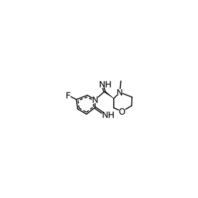 CN1CCOC[C@H]1C(=N)n1cc(F)ccc1=N